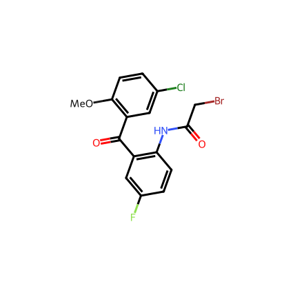 COc1ccc(Cl)cc1C(=O)c1cc(F)ccc1NC(=O)CBr